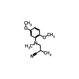 COc1ccc(OC)c(N(C)CC(C)C#N)c1